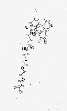 Cc1cnccc1-c1cccc([C@H](C)N(CCCC(=O)NCCOCCOCCOCCC(=O)O)S(=O)(=O)c2cccc(Cl)c2C)c1